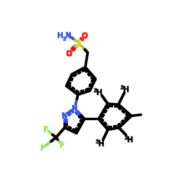 [2H]c1c([2H])c(-c2cc(C(F)(F)F)nn2-c2ccc(CS(N)(=O)=O)cc2)c([2H])c([2H])c1C